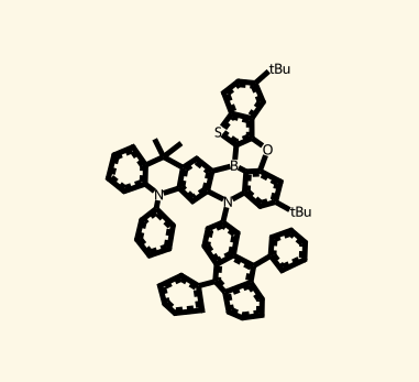 CC(C)(C)c1cc2c3c(c1)N(c1ccc4c(-c5ccccc5)c5ccccc5c(-c5ccccc5)c4c1)c1cc4c(cc1B3c1sc3ccc(C(C)(C)C)cc3c1O2)C(C)(C)c1ccccc1N4c1ccccc1